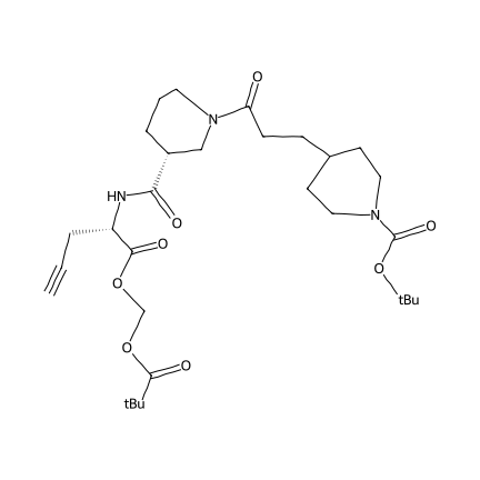 C#CC[C@H](NC(=O)[C@@H]1CCCN(C(=O)CCC2CCN(C(=O)OC(C)(C)C)CC2)C1)C(=O)OCOC(=O)C(C)(C)C